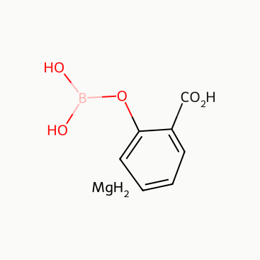 O=C(O)c1ccccc1OB(O)O.[MgH2]